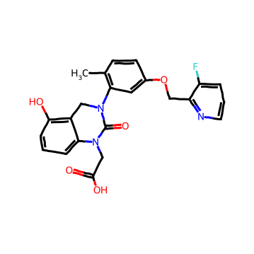 Cc1ccc(OCc2ncccc2F)cc1N1Cc2c(O)cccc2N(CC(=O)O)C1=O